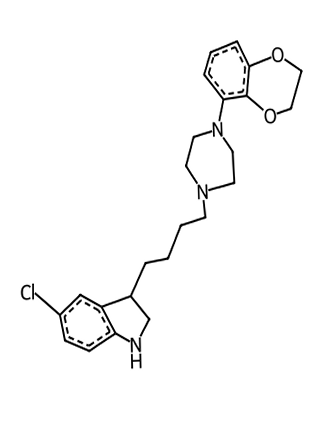 Clc1ccc2c(c1)C(CCCCN1CCN(c3cccc4c3OCCO4)CC1)CN2